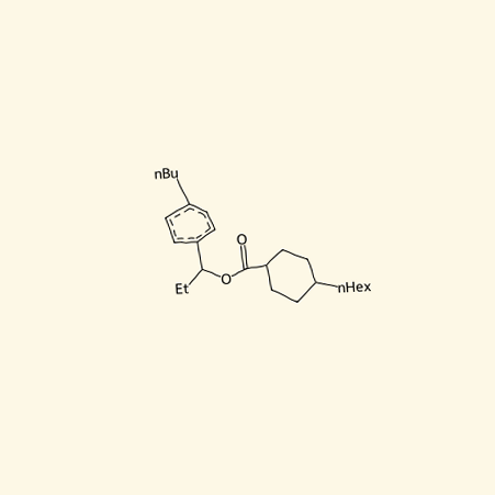 CCCCCCC1CCC(C(=O)OC(CC)c2ccc(CCCC)cc2)CC1